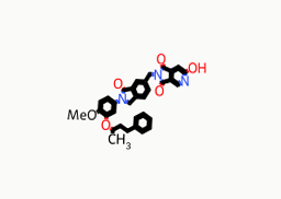 COc1ccc(N2Cc3ccc(CN4C(=O)c5cnc(O)cc5C4=O)cc3C2=O)cc1OC(C)CCc1ccccc1